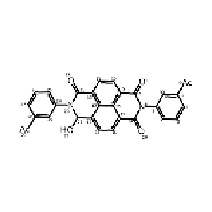 CC(=O)c1cccc(N2C(=O)c3ccc4c5c(ccc(c35)C2=O)C(O)N(c2cccc(C(C)=O)c2)C4=O)c1